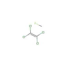 CF.ClC(Cl)=C(Cl)Cl